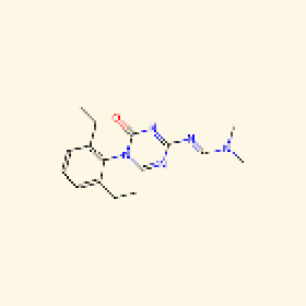 CCc1cccc(CC)c1-n1cnc(N=CN(C)C)nc1=O